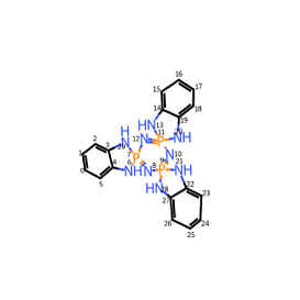 c1ccc2c(c1)NP1(=NP3(=NP4(=N1)Nc1ccccc1N4)Nc1ccccc1N3)N2